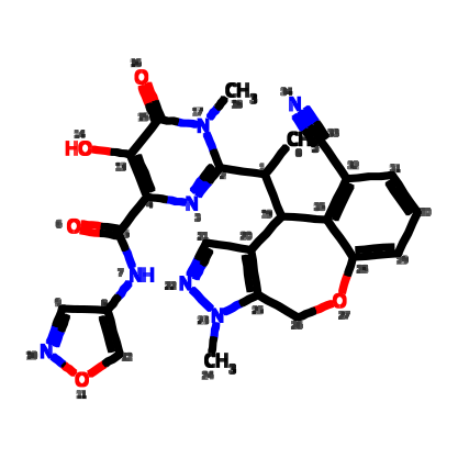 CC(c1nc(C(=O)Nc2cnoc2)c(O)c(=O)n1C)C1c2cnn(C)c2COc2cccc(C#N)c21